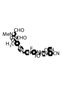 CNC(=O)C(CCC=O)N(C=O)C(=O)c1ccc(N2CCN(CC3CCN(c4cc(F)c(NC(=O)N5CCN(c6ccc(C#N)c7ncccc67)C(C)C5)cc4F)CC3)CC2)cc1C